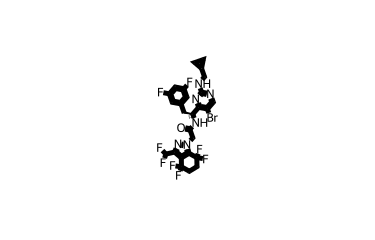 O=C(Cn1nc(C(F)F)c2c1C(F)(F)CCC2(F)F)N[C@@H](Cc1cc(F)cc(F)c1)c1nc(NCC2CC2)ncc1Br